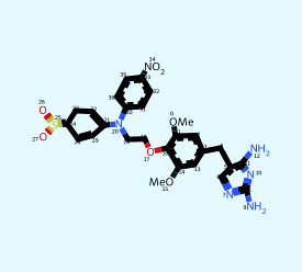 COc1cc(Cc2cnc(N)nc2N)cc(OC)c1OCCN(C1=CCC(=S(=O)=O)C=C1)c1ccc([N+](=O)[O-])cc1